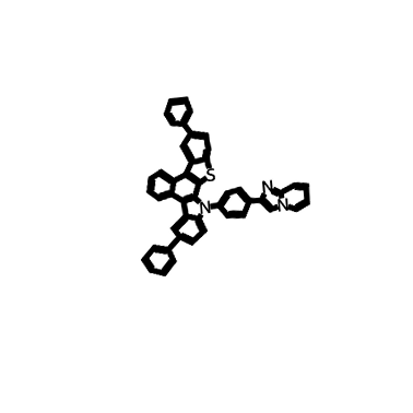 c1ccc(-c2ccc3sc4c(c3c2)c2ccccc2c2c3cc(-c5ccccc5)ccc3n(-c3ccc(-c5cn6ccccc6n5)cc3)c42)cc1